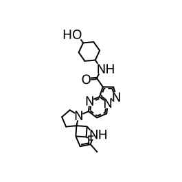 CC1=CC2C(F)C(N1)C21CCCN1c1ccn2ncc(C(=O)NC3CCC(O)CC3)c2n1